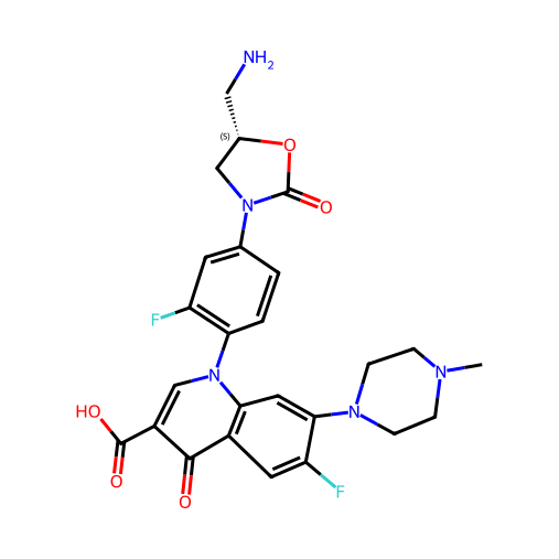 CN1CCN(c2cc3c(cc2F)c(=O)c(C(=O)O)cn3-c2ccc(N3C[C@H](CN)OC3=O)cc2F)CC1